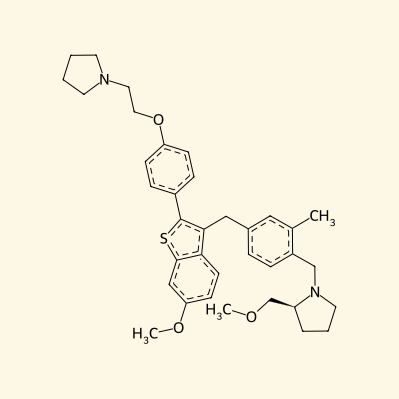 COC[C@@H]1CCCN1Cc1ccc(Cc2c(-c3ccc(OCCN4CCCC4)cc3)sc3cc(OC)ccc23)cc1C